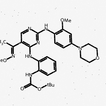 CON=C(C)c1cnc(Nc2ccc(N3CCOCC3)cc2OC)nc1Nc1ccccc1NC(=O)OC(C)(C)C